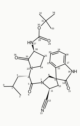 CC(C)C[C@@H](C(=O)N1C[C@]2(C[C@H]1C#N)C(=O)Nc1ccccc12)N1CC[C@H](NC(=O)OC(C)(C)C)C1=O